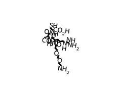 N=C(N)NCCCC(NC(=O)CCOCCOCCN)C(=O)N[C@@H](CC(=O)O)C(=O)N[C@H](CS)C(=O)O